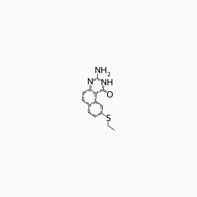 CCSc1ccc2ccc3nc(N)[nH]c(=O)c3c2c1